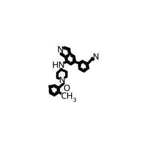 Cc1ccccc1C(=O)N1CCC(Nc2cc(-c3cccc(C#N)c3)cc3ccncc23)CC1